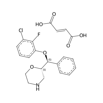 Fc1c(Cl)cccc1O[C@@H](c1ccccc1)[C@@H]1CNCCO1.O=C(O)C=CC(=O)O